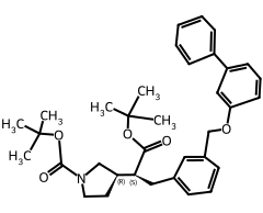 CC(C)(C)OC(=O)[C@@H](Cc1cccc(COc2cccc(-c3ccccc3)c2)c1)[C@H]1CCN(C(=O)OC(C)(C)C)C1